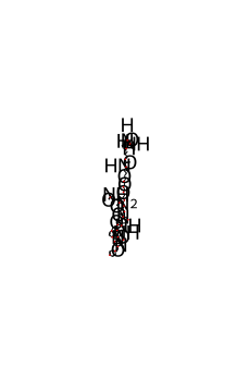 Cc1nc(Oc2ccccc2)ccc1N1C(=O)NC2=C(C(=O)N[C@@H]3CCCN(C(=O)/C=C/CN(CCCOCCOCCOCCCNC(=O)CCCC[C@@H]4CC[C@@H]5NC(=O)N[C@H]45)C(=O)CCCC(N)=O)C3)Cc3cccc1c32